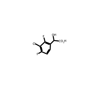 O=C(O)C(O)c1ccc(F)c(Cl)c1F